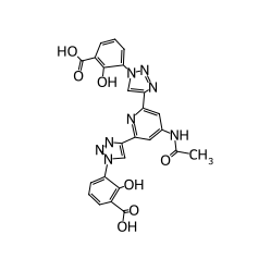 CC(=O)Nc1cc(-c2cn(-c3cccc(C(=O)O)c3O)nn2)nc(-c2cn(-c3cccc(C(=O)O)c3O)nn2)c1